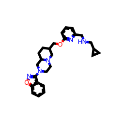 c1cc(CNCC2CC2)nc(OCC2CCC3CN(c4noc5ccccc45)CCN3C2)c1